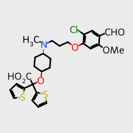 COc1cc(OCCCN(C)[C@H]2CC[C@H](OC(C(=O)O)(c3cccs3)c3cccs3)CC2)c(Cl)cc1C=O